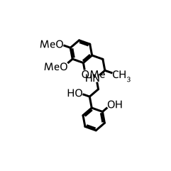 COc1ccc(CC(C)NCC(O)c2ccccc2O)c(OC)c1OC